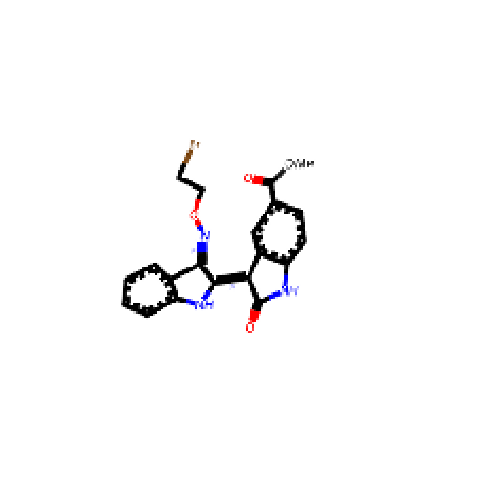 COC(=O)c1ccc2c(c1)/C(=C1/Nc3ccccc3/C1=N\OCCBr)C(=O)N2